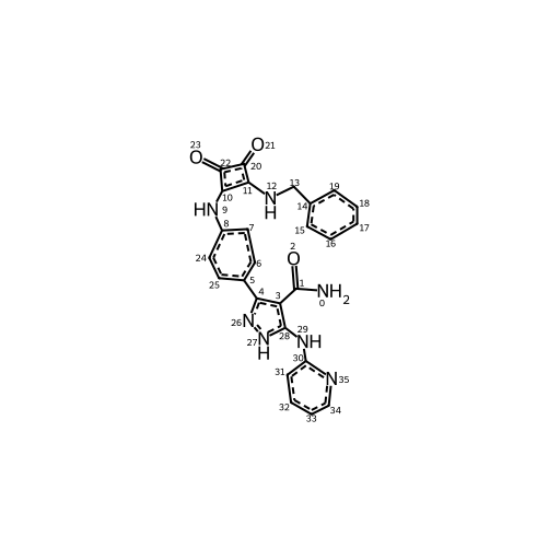 NC(=O)c1c(-c2ccc(Nc3c(NCc4ccccc4)c(=O)c3=O)cc2)n[nH]c1Nc1ccccn1